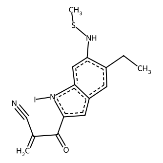 C=C(C#N)C(=O)c1cc2cc(CC)c(NSC)cc2n1I